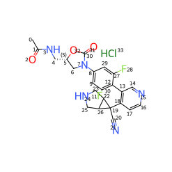 CC(=O)NC[C@H]1CN(c2cc(F)c(-c3cnccc3C3(C#N)C4CNCC43)c(F)c2)C(=O)O1.Cl